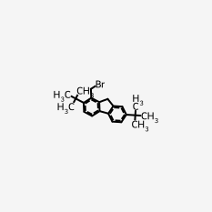 CC(C)(C)c1ccc2c(c1)Cc1c-2ccc(C(C)(C)C)c1CBr